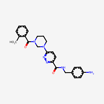 Nc1ccc(CNC(=O)c2ccc(N3CCCN(C(=O)c4ccccc4C(=O)O)C3)nn2)cc1